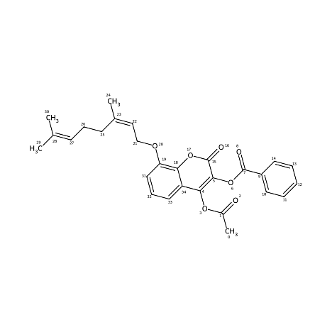 CC(=O)Oc1c(OC(=O)c2ccccc2)c(=O)oc2c(OCC=C(C)CCC=C(C)C)cccc12